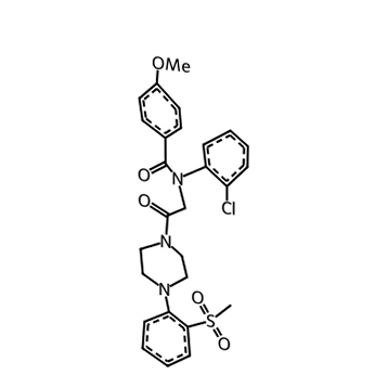 COc1ccc(C(=O)N(CC(=O)N2CCN(c3ccccc3S(C)(=O)=O)CC2)c2ccccc2Cl)cc1